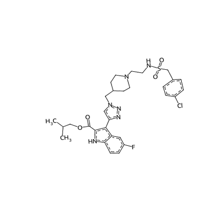 CC(C)COC(=O)c1[nH]c2ccc(F)cc2c1-c1cn(CC2CCN(CCNS(=O)(=O)Cc3ccc(Cl)cc3)CC2)nn1